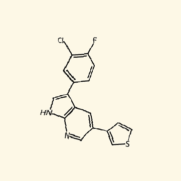 Fc1ccc(-c2c[nH]c3ncc(-c4ccsc4)cc23)cc1Cl